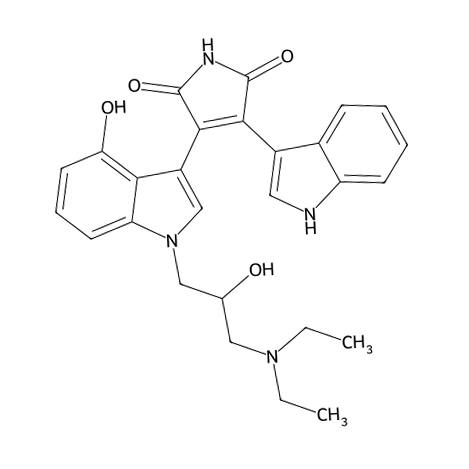 CCN(CC)CC(O)Cn1cc(C2=C(c3c[nH]c4ccccc34)C(=O)NC2=O)c2c(O)cccc21